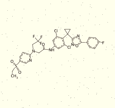 CCS(=O)(=O)c1ccc(N(CC(=O)Nc2cc(Cl)c(C3(c4noc(-c5ccc(F)cc5)n4)CC3)c(Cl)c2)CC(F)(F)F)nc1